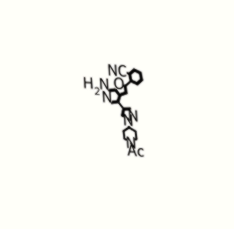 CC(=O)N1CCC(n2cc(-c3cnc(N)c4oc(-c5ccccc5C#N)cc34)cn2)CC1